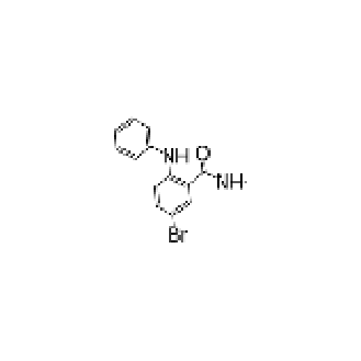 [NH]C(=O)c1cc(Br)ccc1Nc1ccccc1